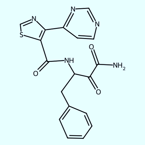 NC(=O)C(=O)C(Cc1ccccc1)NC(=O)c1scnc1-c1ccncn1